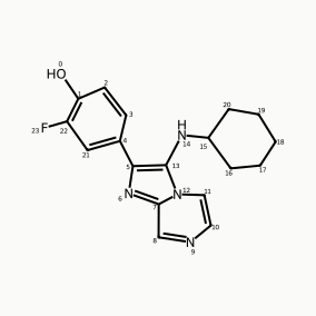 Oc1ccc(-c2nc3cnccn3c2NC2CCCCC2)cc1F